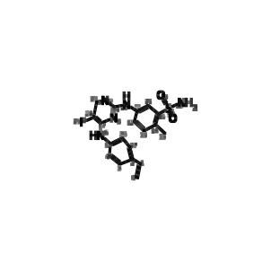 C=Cc1ccc(Nc2nc(Nc3ccc(C)c(S(N)(=O)=O)c3)ncc2F)cc1